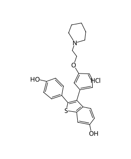 Cl.Oc1ccc(-c2sc3cc(O)ccc3c2-c2cccc(OCCN3CCCCC3)c2)cc1